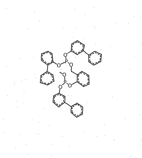 COP(Oc1cccc(-c2ccccc2)c1)Oc1ccccc1COP(Oc1cccc(-c2ccccc2)c1)Oc1ccccc1-c1ccccc1